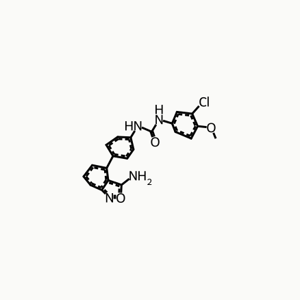 COc1ccc(NC(=O)Nc2ccc(-c3cccc4noc(N)c34)cc2)cc1Cl